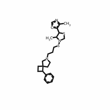 Cc1ncoc1C1SCN(SCCCN2CCC3(CCC3c3ccccc3)C2)C1C